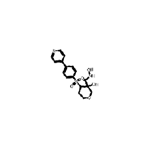 O=C(NO)C1(O)COCCC1S(=O)(=O)c1ccc(-c2ccncc2)cc1